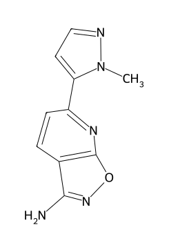 Cn1nccc1-c1ccc2c(N)noc2n1